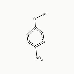 CC(C)Oc1[c]cc([N+](=O)[O-])cc1